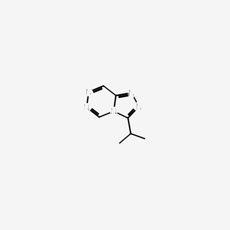 CC(C)c1nnc2cnncn12